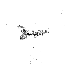 CCOC(=O)c1nc(C(=O)NCCCCN/C(=N\C(=O)OC(C)(C)C)NC(=O)OC(C)(C)C)c[nH]1